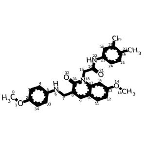 COc1ccc(NCc2cc3ccc(OC)cc3n(CC(=O)Nc3ccc(C)c(Cl)c3)c2=O)cc1